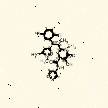 Cc1cc([C@@H](c2cc(F)ccc2Cl)[C@H](C)c2nc(C(=O)Nc3cnoc3)c(O)c(=O)n2C)nn1C